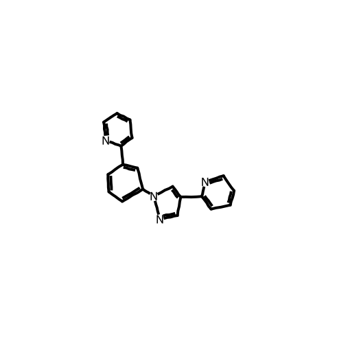 c1ccc(-c2cccc(-n3cc(-c4ccccn4)cn3)c2)nc1